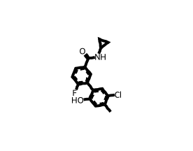 Cc1cc(O)c(-c2cc(C(=O)NC3CC3)ccc2F)cc1Cl